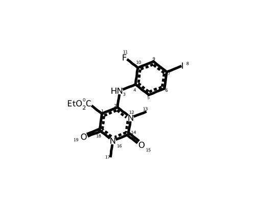 CCOC(=O)c1c(Nc2ccc(I)cc2F)n(C)c(=O)n(C)c1=O